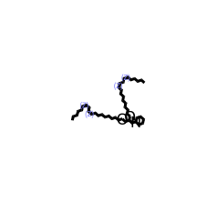 CCCCC/C=C\C/C=C\CCCCCCCCOCC(CN1CCCCC1)OCCCCCCCC/C=C\C/C=C\CCCCC